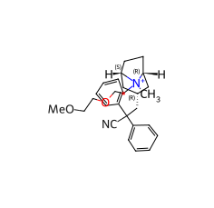 COCCOCC[N+]1(C)[C@@H]2CC[C@H]1C[C@@H](CC(C#N)(c1ccccc1)c1ccccc1)C2